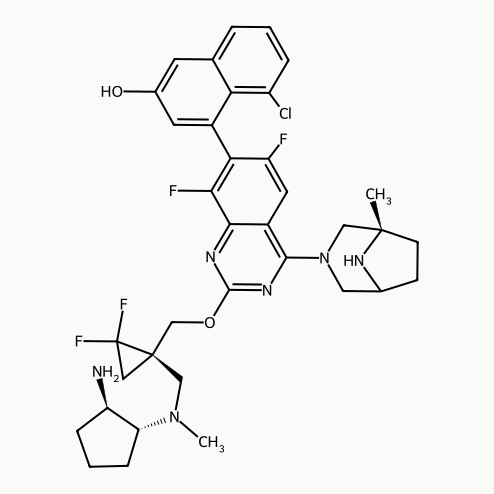 CN(C[C@@]1(COc2nc(N3CC4CC[C@@](C)(C3)N4)c3cc(F)c(-c4cc(O)cc5cccc(Cl)c45)c(F)c3n2)CC1(F)F)[C@@H]1CCC[C@H]1N